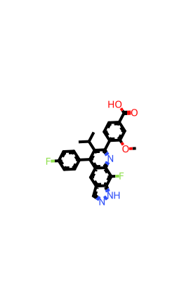 COc1cc(C(=O)O)ccc1-c1nc2c(F)c3[nH]ncc3cc2c(-c2ccc(F)cc2)c1C(C)C